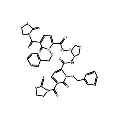 O=C(N[C@H]1COC[C@H]1NC(=O)c1ccc(C(=O)N2CCSC2=S)c(=O)n1OCc1ccccc1)c1ccc(C(=O)N2CCSC2=S)c(=O)n1OCc1ccccc1